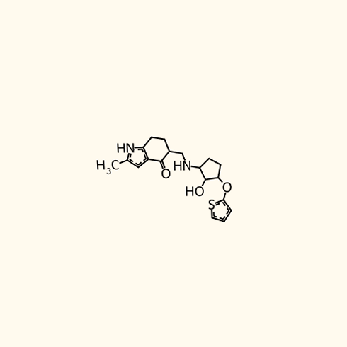 Cc1cc2c([nH]1)CCC(CNC1CCC(Oc3cccs3)C1O)C2=O